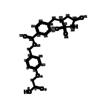 O=C(O)COc1ccc(COC(=O)c2ccc(CN3CC(=O)NS3(=O)=O)cc2)cc1